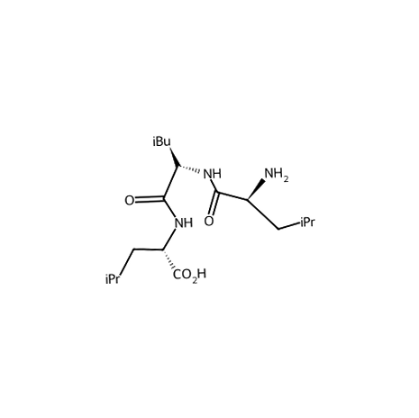 CC[C@H](C)[C@H](NC(=O)[C@@H](N)CC(C)C)C(=O)N[C@@H](CC(C)C)C(=O)O